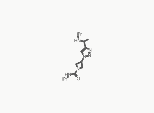 CC(C)NC(=O)N1CC(n2cc(C(C)NC(C)C)nn2)C1